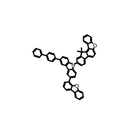 CC1(C)c2cc(-n3c4ccc(-c5ccc(-c6ccccc6)cc5)cc4c4cc(-c5cccc6c5oc5ccccc56)ccc43)ccc2-c2ccc3oc4ccccc4c3c21